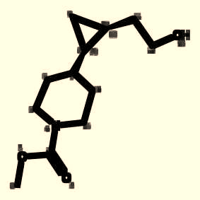 COC(=O)N1CCC([C@H]2C[C@H]2CCO)CC1